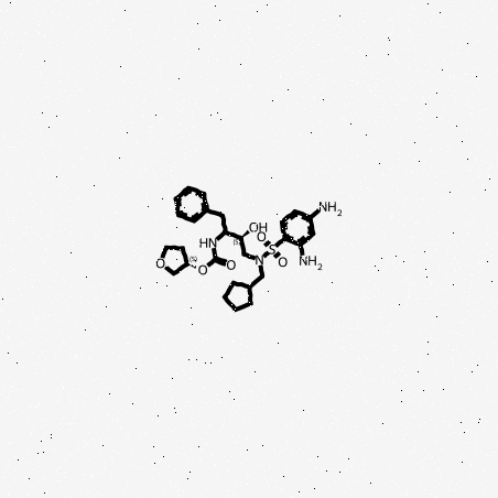 Nc1ccc(S(=O)(=O)N(CC2CCCC2)C[C@H](O)C(Cc2ccccc2)NC(=O)O[C@H]2CCOC2)c(N)c1